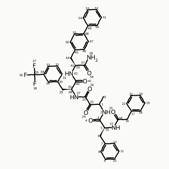 CC(NC(=O)[C@H](Cc1ccccc1)NC(=O)Cc1ccccc1)C(=O)C(=O)N[C@@H](Cc1cccc(C(F)(F)F)c1)C(=O)N[C@@H](Cc1ccc(-c2ccccc2)cc1)C(N)=O